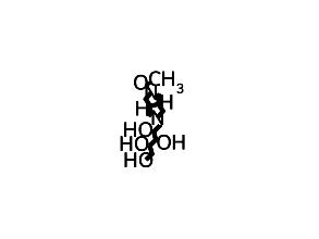 CC(=O)N1C[C@H]2CN(CC(O)C(O)C(O)CO)C[C@H]2C1